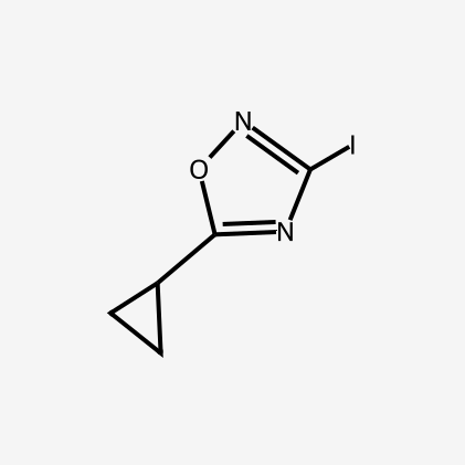 Ic1noc(C2CC2)n1